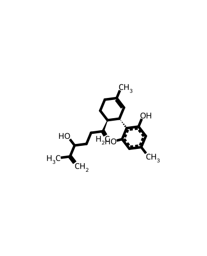 C=C(C)C(O)CCC(=C)[C@H]1CCC(C)=C[C@@H]1c1c(O)cc(C)cc1O